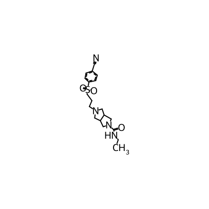 CCNC(=O)N1CC2CN(CCCS(=O)(=O)c3ccc(C#N)cc3)CC2C1